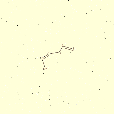 [CH2]/C=C\CC=C